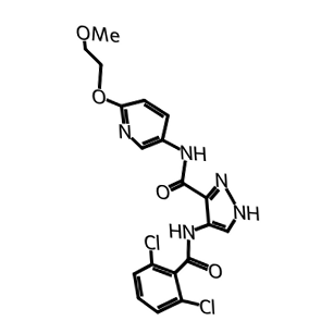 COCCOc1ccc(NC(=O)c2n[nH]cc2NC(=O)c2c(Cl)cccc2Cl)cn1